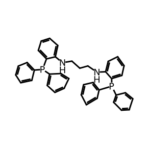 c1ccc(P(c2ccccc2)c2ccccc2NCCCNc2ccccc2P(c2ccccc2)c2ccccc2)cc1